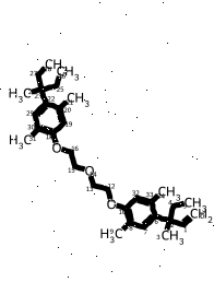 C=CC(C)(CC)c1cc(C)c(OCCOCCOc2cc(C)c(C(C)(CC)CC)cc2C)cc1C